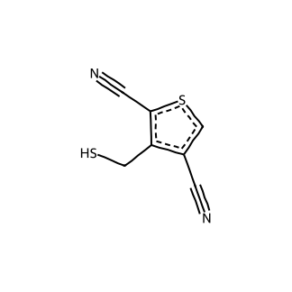 N#Cc1csc(C#N)c1CS